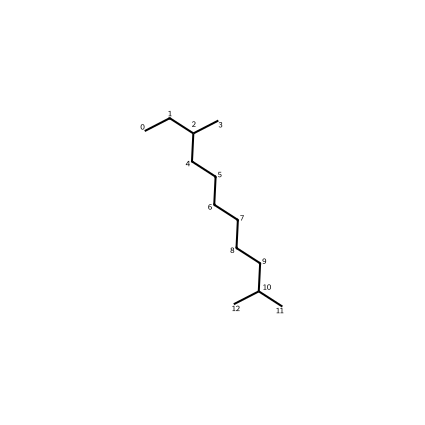 CCC(C)CCCCCCC(C)C